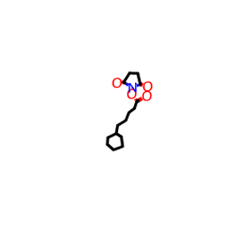 O=C(CCCCC1CCCCC1)ON1C(=O)CCC1=O